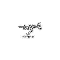 CCCCCCCCC(CCCCCC)C(=O)OCCCC(=O)OCC(CN(C)CCO[Si](c1ccccc1)(c1ccccc1)C(C)(C)C)OC(=O)CCCOC(=O)C(CCCCCC)CCCCCCCC